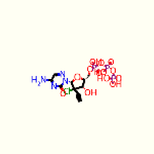 C#CC1(Cl)[C@@H](O)[C@@H](COP(=O)(O)OP(=O)(O)OP(=O)(O)O)O[C@H]1n1ncc(N)nc1=O